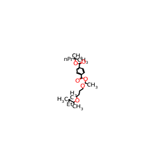 CCCC(C)(C)OC(=O)c1ccc(C(=O)OC(C)OCCCCOC(C)C(C)(C)CC)cc1